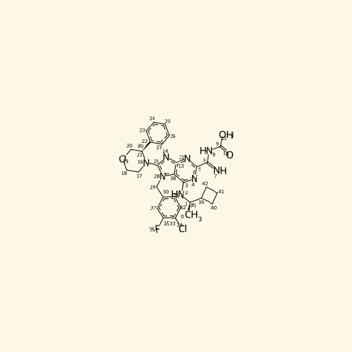 C[C@@H](Nc1nc(C(=N)NC(=O)O)nc2nc(N3CCOC[C@H]3c3ccccc3)n(Cc3ccc(Cl)c(F)c3)c12)C1CCC1